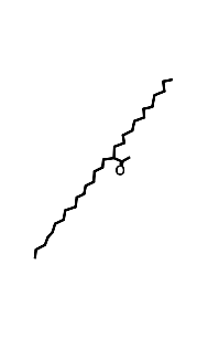 CCCCCCCCCCCCCCCCC(CCCCCCCCCCCC)C(C)=O